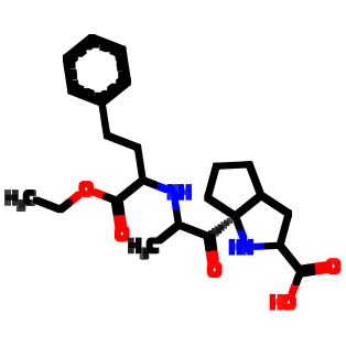 CCOC(=O)C(CCc1ccccc1)NC(C)C(=O)[C@]12CCCC1CC(C(=O)O)N2